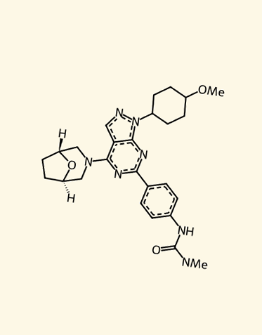 CNC(=O)Nc1ccc(-c2nc(N3C[C@H]4CC[C@H](C3)O4)c3cnn(C4CCC(OC)CC4)c3n2)cc1